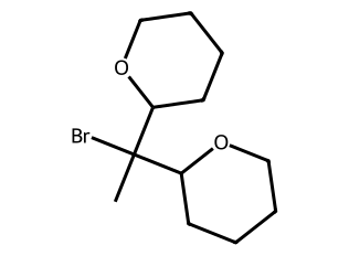 CC(Br)(C1CCCCO1)C1CCCCO1